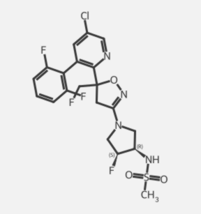 CS(=O)(=O)N[C@@H]1CN(C2=NOC(CF)(c3ncc(Cl)cc3-c3c(F)cccc3F)C2)C[C@@H]1F